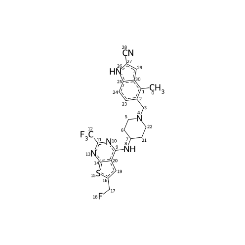 Cc1c(CN2CCC(Nc3nc(C(F)(F)F)nc4sc(CF)cc34)CC2)ccc2[nH]c(C#N)cc12